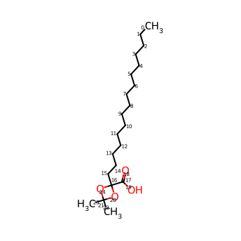 CCCCCCCCCCCCCCCCC1(C(=O)O)OC(C)(C)O1